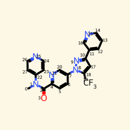 CN(C(=O)c1ccc(-n2nc(-c3cccnc3)cc2C(F)(F)F)cn1)c1ccncc1